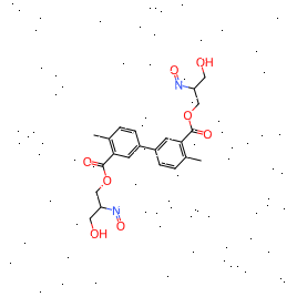 Cc1ccc(-c2ccc(C)c(C(=O)OCC(CO)N=O)c2)cc1C(=O)OCC(CO)N=O